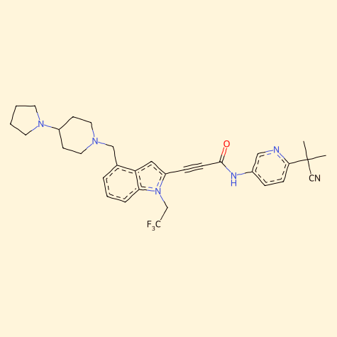 CC(C)(C#N)c1ccc(NC(=O)C#Cc2cc3c(CN4CCC(N5CCCC5)CC4)cccc3n2CC(F)(F)F)cn1